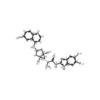 CC(C(=O)Nc1nc2cc(F)c(F)cc2[nH]1)[C@@H]1[C@@H]2C[C@@H](Oc3ccnc4ccc(F)cc34)C[C@@H]21